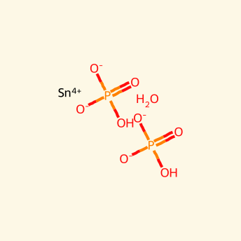 O.O=P([O-])([O-])O.O=P([O-])([O-])O.[Sn+4]